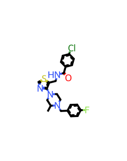 CC1CN(c2ncsc2CNC(=O)c2ccc(Cl)cc2)CCN1Cc1ccc(F)cc1